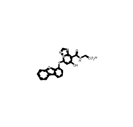 O=C(O)CNC(=O)c1c(O)cc(Sc2cccc3c2sc2ccccc23)n2ncnc12